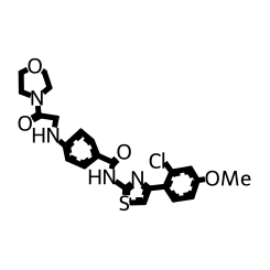 COc1ccc(-c2csc(NC(=O)c3ccc(NCC(=O)N4CCOCC4)cc3)n2)c(Cl)c1